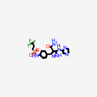 NC(=O)c1c(-c2ccc(NS(=O)(=O)CCC(F)(F)F)cc2)n[nH]c1Nc1cnccn1